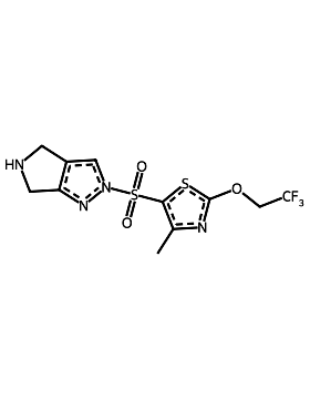 Cc1nc(OCC(F)(F)F)sc1S(=O)(=O)n1cc2c(n1)CNC2